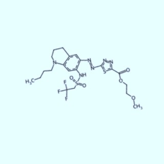 CCCCN1CCCc2cc(N=Nc3nnc(C(=O)OCCOC)s3)c(NS(=O)(=O)CC(F)(F)F)cc21